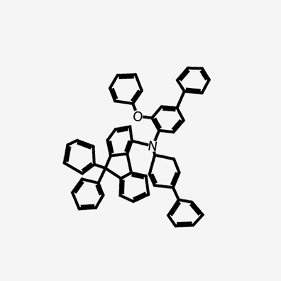 C1=CC(N(c2ccc(-c3ccccc3)cc2Oc2ccccc2)c2cccc3c2-c2ccccc2C3(c2ccccc2)c2ccccc2)CC=C1c1ccccc1